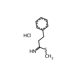 CSC(=N)CCc1ccccc1.Cl